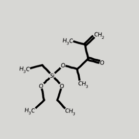 C=C(C)C(=O)C(C)O[Si](CC)(OCC)OCC